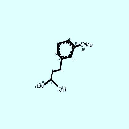 [CH2]CCCC(O)CCc1cccc(OC)c1